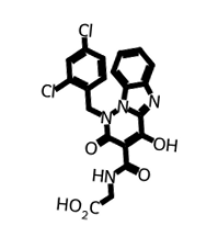 O=C(O)CNC(=O)c1c(O)c2nc3ccccc3n2n(Cc2ccc(Cl)cc2Cl)c1=O